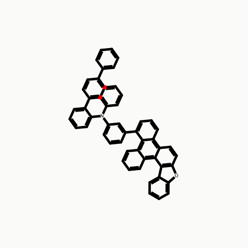 c1ccc(-c2ccc(-c3ccccc3N(c3ccccc3)c3cccc(-c4cccc5c6ccc7oc8ccccc8c7c6c6ccccc6c45)c3)cc2)cc1